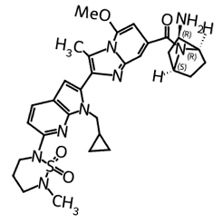 COc1cc(C(=O)N2[C@H]3CC[C@@H]2[C@H](N)C3)cc2nc(-c3cc4ccc(N5CCCN(C)S5(=O)=O)nc4n3CC3CC3)c(C)n12